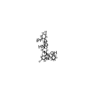 Cc1ccc2c(N3CCC(NC(=O)COC4CC(C)CCC4C(C)C)CC3)nc(-c3ccccc3O)nc2c1